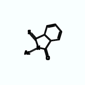 CC(=O)N1C(=O)C2C=CC=CC2C1=S